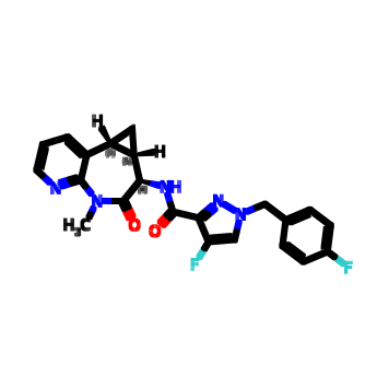 CN1C(=O)[C@H](NC(=O)c2nn(Cc3ccc(F)cc3)cc2F)[C@H]2C[C@H]2c2cccnc21